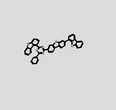 c1ccc(-c2nc(-c3ccc4c(c3)sc3cc(-c5cccc6c5oc5ccccc56)ccc34)nc(-c3cccc4sc5ccccc5c34)n2)cc1